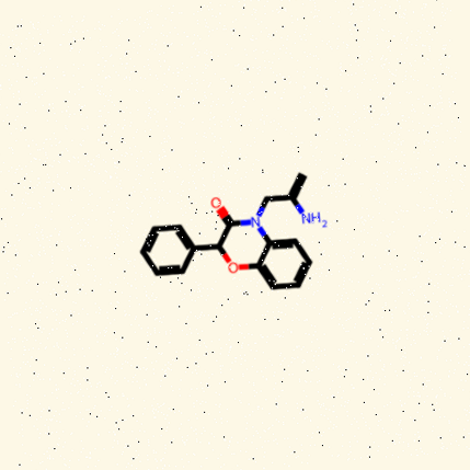 C=C(N)CN1C(=O)C(c2ccccc2)Oc2ccccc21